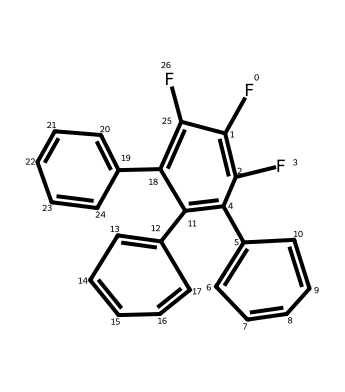 Fc1c(F)c(-c2ccccc2)c(-c2ccccc2)c(-c2ccccc2)c1F